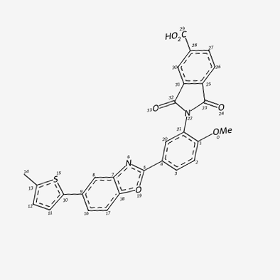 COc1ccc(-c2nc3cc(-c4ccc(C)s4)ccc3o2)cc1N1C(=O)c2ccc(C(=O)O)cc2C1=O